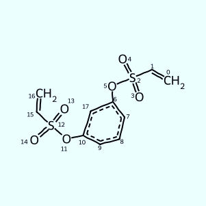 C=CS(=O)(=O)Oc1cccc(OS(=O)(=O)C=C)c1